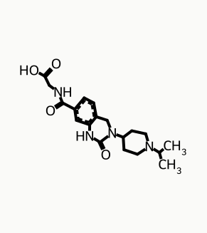 CC(C)N1CCC(N2Cc3ccc(C(=O)NCC(=O)O)cc3NC2=O)CC1